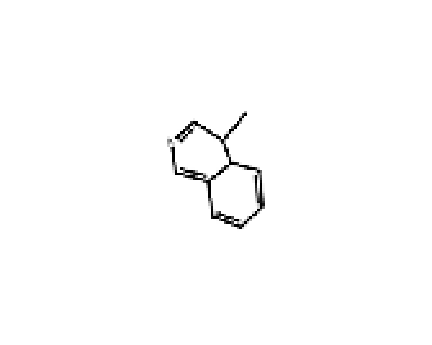 CC1C=NC=C2C=CC=CC21